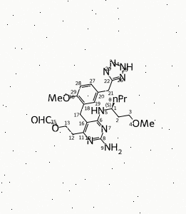 CCC[C@@H](CCOC)Nc1nc(N)nc(CCOC=O)c1Cc1cc(Cc2nn[nH]n2)ccc1OC